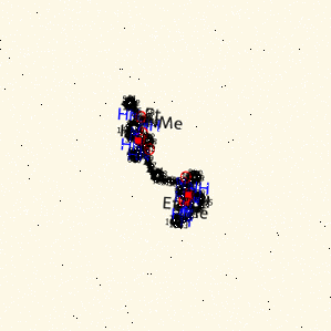 CC[C@H](NC)C(=O)N[C@@H]1C(=O)N2C(C(=O)NC(C(=O)NCCCCC3CCC(CCCCNC(=O)C(NC(=O)[C@@H]4CC[C@@H]5CC[C@H](CNCc6ccccc6)[C@H](NC(=O)[C@H](CC)NC)C(=O)N54)(c4ccccc4)c4ccccc4)CC3)(c3ccccc3)c3ccccc3)CC[C@@H]2CC[C@@H]1CNCc1ccccc1